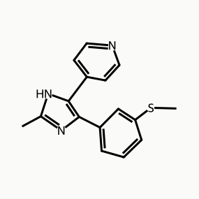 CSc1cccc(-c2nc(C)[nH]c2-c2ccncc2)c1